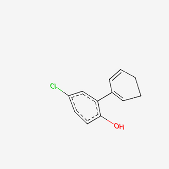 Oc1ccc(Cl)cc1C1=CCCC=C1